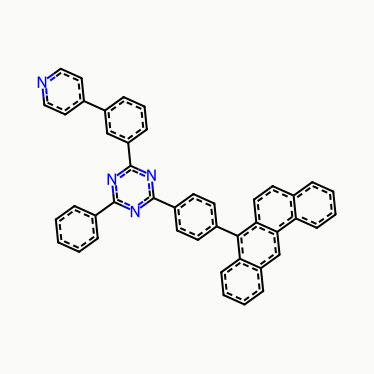 c1ccc(-c2nc(-c3ccc(-c4c5ccccc5cc5c4ccc4ccccc45)cc3)nc(-c3cccc(-c4ccncc4)c3)n2)cc1